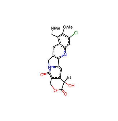 CC[C@@]1(O)C(=O)OCc2c1cc1n(c2=O)Cc2cc3c(CNC)c(OC)c(Cl)cc3nc2-1